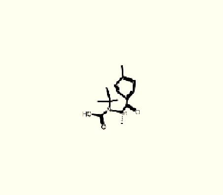 Cc1ccc(C(=O)[C@H](C)N(C(=O)O)C(C)(C)C)cc1